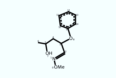 CO/N=C/C(CC(C)O)Oc1ccccc1